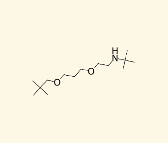 CC(C)(C)COCCCOCCNC(C)(C)C